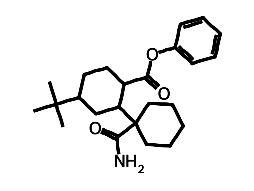 CC(C)(C)C1CCC(C(=O)Oc2ccccc2)C(C2(C(N)=O)CCCCC2)C1